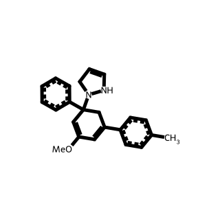 COC1=CC(c2ccccc2)(N2CC=CN2)CC(c2ccc(C)cc2)=C1